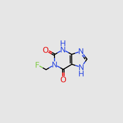 O=c1[nH]c2nc[nH]c2c(=O)n1CF